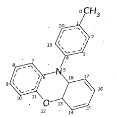 Cc1ccc(N2c3ccccc3OC3C=CC=CC32)cc1